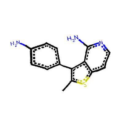 Cc1sc2ccnc(N)c2c1-c1ccc(N)cc1